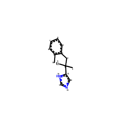 CCC(C)(Cc1ccccc1C)c1cnc[nH]1